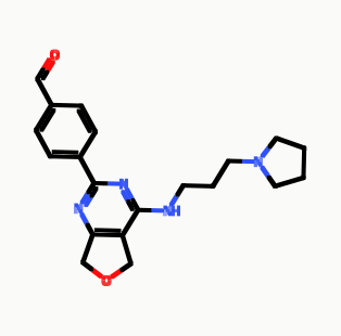 O=Cc1ccc(-c2nc3c(c(NCCCN4CCCC4)n2)COC3)cc1